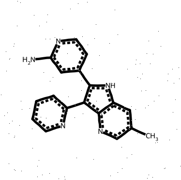 Cc1cnc2c(-c3ccccn3)c(-c3ccnc(N)c3)[nH]c2c1